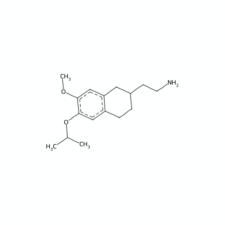 COc1cc2c(cc1OC(C)C)CCC(CCN)C2